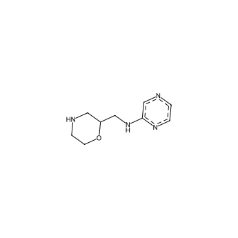 c1cnc(NCC2CNCCO2)cn1